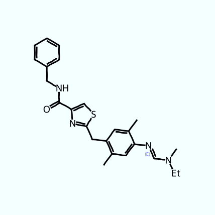 CCN(C)/C=N/c1cc(C)c(Cc2nc(C(=O)NCc3ccccc3)cs2)cc1C